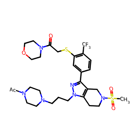 CC(=O)N1CCN(CCCn2nc(-c3ccc(C(F)(F)F)c(SCC(=O)N4CCOCC4)c3)c3c2CCN(S(C)(=O)=O)C3)CC1